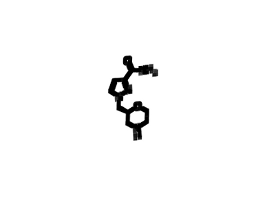 NC(=O)c1ccn(C[C@@H]2CNCCO2)n1